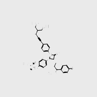 CC(=O)O[C@@H](CC[C@H]1C(=O)N(c2ccc(C#CCC(CO)CO)cc2)[C@@H]1c1ccc(OS(=O)(=O)C(F)(F)F)cc1)c1ccc(F)cc1